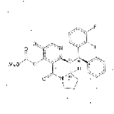 COC(=O)Oc1c2n(ncc1=O)[C@@H]([C@H](c1ccccc1)c1cccc(F)c1F)[C@H]1CCCN1C2=O